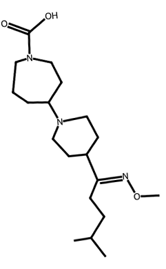 CON=C(CCC(C)C)C1CCN(C2CCCN(C(=O)O)CC2)CC1